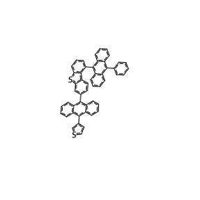 c1ccc(-c2c3ccccc3c(-c3cccc4sc5cc(-c6c7ccccc7c(-c7ccsc7)c7ccccc67)ccc5c34)c3ccccc23)cc1